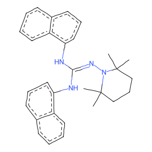 CC1(C)CCCC(C)(C)N1N=C(Nc1cccc2ccccc12)Nc1cccc2ccccc12